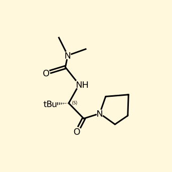 CN(C)C(=O)N[C@H](C(=O)N1CCCC1)C(C)(C)C